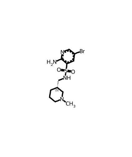 CN1CCC[C@H](CNS(=O)(=O)c2cc(Br)cnc2N)C1